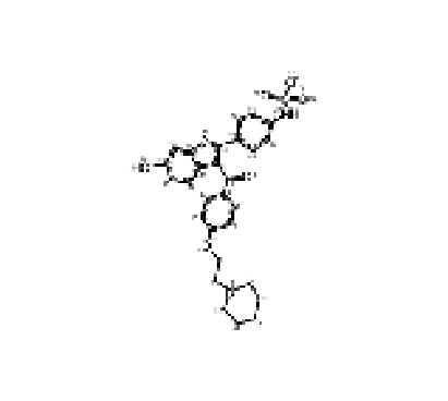 O=C(c1ccc(OCCN2CCCCC2)cc1)c1c(-c2ccc(NS(=O)(=O)C(F)(F)F)cc2)sc2cc(O)ccc12